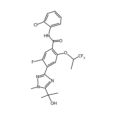 CC(Oc1cc(-c2nc(C(C)(C)O)n(C)n2)c(F)cc1C(=O)Nc1ccccc1Cl)C(F)(F)F